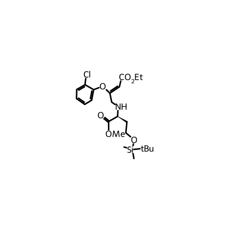 CCOC(=O)/C=C(/CN[C@@H](CCO[Si](C)(C)C(C)(C)C)C(=O)OC)Oc1ccccc1Cl